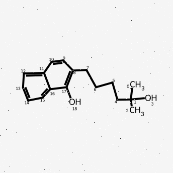 CC(C)(O)CCCCc1ccc2ccccc2c1O